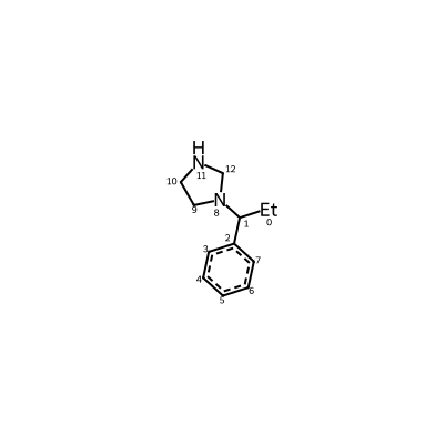 CCC(c1ccccc1)N1CCNC1